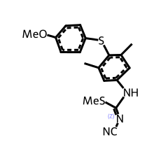 COc1ccc(Sc2c(C)cc(N/C(=N/C#N)SC)cc2C)cc1